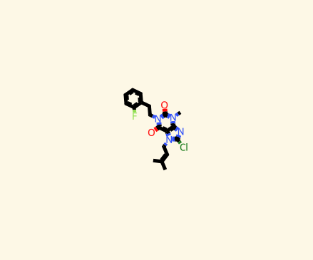 CC(C)=CCn1c(Cl)nc2c1c(=O)n(CCc1ccccc1F)c(=O)n2C